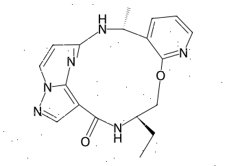 CC[C@@H]1COc2ncccc2[C@@H](C)Nc2ccn3ncc(c3n2)C(=O)N1